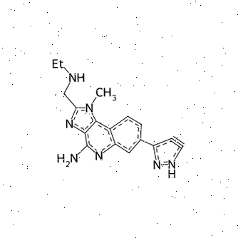 CCNCc1nc2c(N)nc3cc(-c4c#c[nH]n4)ccc3c2n1C